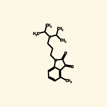 Cc1cccc2c1C(=O)C(=O)N2CCCN(C(C)C)C(C)C